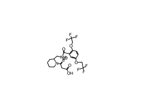 O=C=C(CC(=O)O)N1CCCCC1CNC(=O)c1cc(OCC(F)(F)F)ccc1OCC(F)(F)F